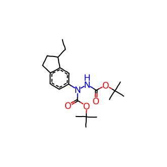 CCC1CCc2ccc(N(NC(=O)OC(C)(C)C)C(=O)OC(C)(C)C)cc21